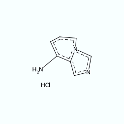 Cl.Nc1cccn2cncc12